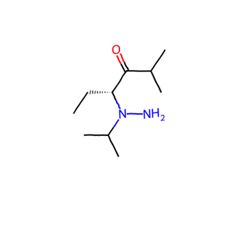 CC[C@H](C(=O)C(C)C)N(N)C(C)C